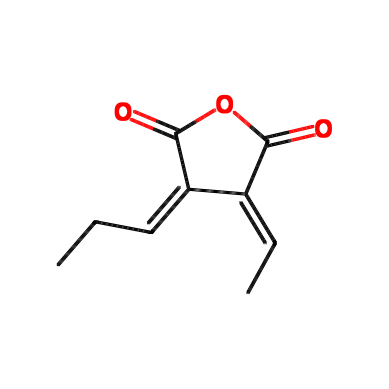 CC=C1C(=O)OC(=O)C1=CCC